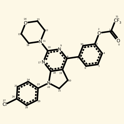 O=C(Oc1cccc(-c2nc(N3CCOCC3)nc3c2CCN3c2ccc(Cl)cc2)c1)C(F)(F)F